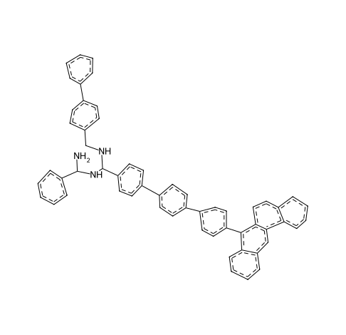 NC(NC(NCc1ccc(-c2ccccc2)cc1)c1ccc(-c2ccc(-c3ccc(-c4c5ccccc5cc5c4ccc4ccccc45)cc3)cc2)cc1)c1ccccc1